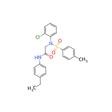 CCc1ccc(NC(=O)CN(c2ccccc2Cl)S(=O)(=O)c2ccc(C)cc2)cc1